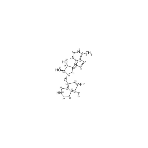 Cc1ncnc2c1ccn2[C@@H]1C[C@H](Oc2cc(F)c(F)c3c2CNCC3)[C@@H](O)[C@H]1O